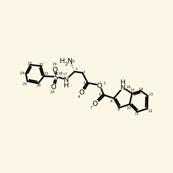 N[C@H](CC(=O)OC(=O)c1cc2ccccc2[nH]1)NS(=O)(=O)c1ccccc1